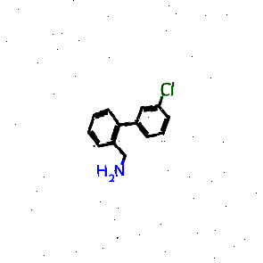 NCc1[c]cccc1-c1cccc(Cl)c1